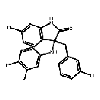 O=C1Nc2cc(Cl)ccc2C1(Cc1cccc(Cl)c1)Nc1ccc(F)c(F)c1